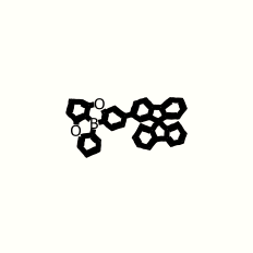 c1ccc2c(c1)Oc1cccc3c1B2c1ccc(-c2ccc4c(c2)C2(c5ccccc5-c5ccccc52)c2ccccc2-4)cc1O3